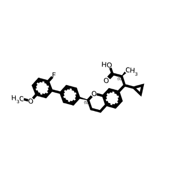 COc1ccc(F)c(-c2ccc([C@@H]3CCc4ccc(C(C5CC5)[C@H](C)C(=O)O)cc4O3)cc2)c1